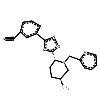 C[C@H]1CC[C@H](c2nc(-c3cccc(C#N)c3)no2)N(Cc2ccccn2)C1